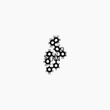 c1ccc(-c2cccc(-c3nc(-c4cccc5oc6cc(-c7cccc8ccccc78)ccc6c45)nc(-c4cccc5sc6ccccc6c45)n3)c2)cc1